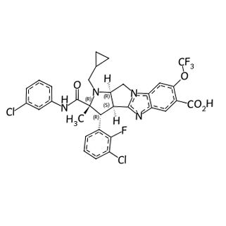 C[C@]1(C(=O)Nc2cccc(Cl)c2)[C@@H](c2cccc(Cl)c2F)[C@@H]2c3nc4cc(C(=O)O)c(OC(F)(F)F)cc4n3C[C@@H]2N1CC1CC1